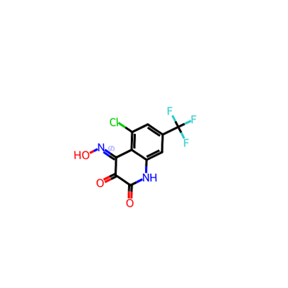 O=C1Nc2cc(C(F)(F)F)cc(Cl)c2/C(=N/O)C1=O